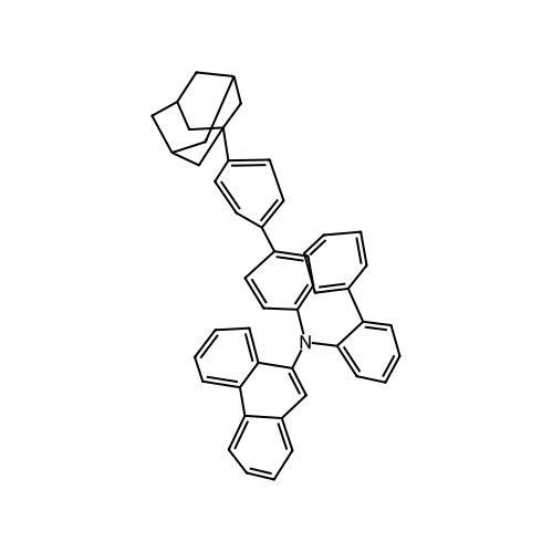 c1ccc(-c2ccccc2N(c2ccc(-c3ccc(C45CC6CC(CC(C6)C4)C5)cc3)cc2)c2cc3ccccc3c3ccccc23)cc1